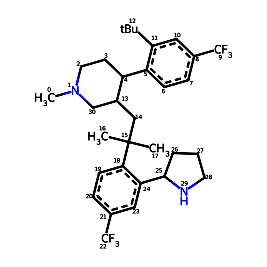 CN1CCC(c2ccc(C(F)(F)F)cc2C(C)(C)C)C(CC(C)(C)c2ccc(C(F)(F)F)cc2C2CCCN2)C1